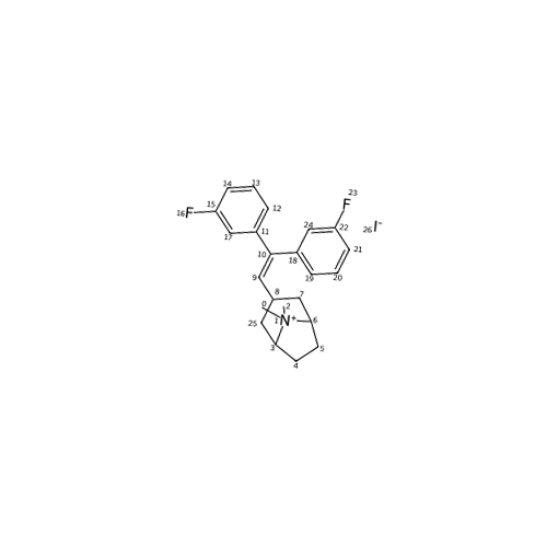 C[N+]1(C)C2CCC1CC(C=C(c1cccc(F)c1)c1cccc(F)c1)C2.[I-]